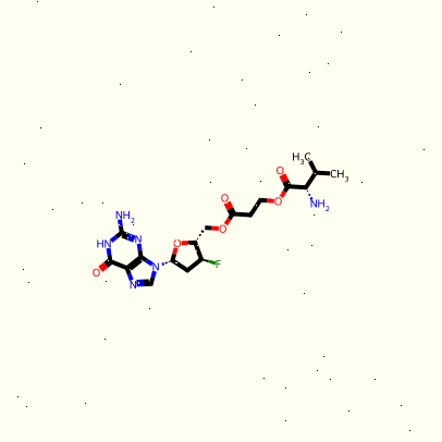 CC(C)[C@H](N)C(=O)OCCC(=O)OC[C@H]1O[C@@H](n2cnc3c(=O)[nH]c(N)nc32)C[C@@H]1F